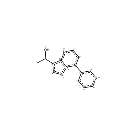 CC(O)c1cnn2c(-c3cccnc3)ccnc12